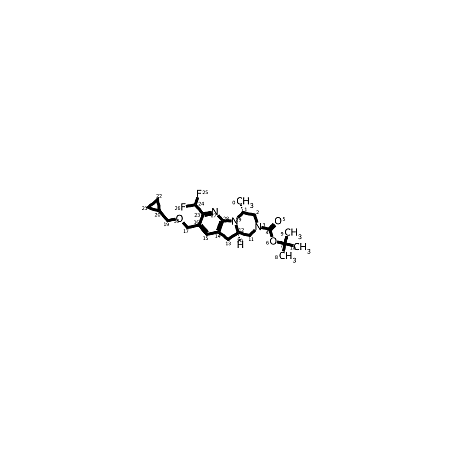 C[C@@H]1CN(C(=O)OC(C)(C)C)C[C@H]2Cc3cc(COCC4CC4)c(C(F)F)nc3N21